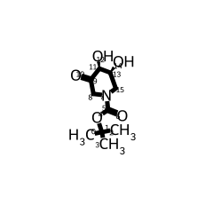 CC(C)(C)OC(=O)N1CC(=O)[C@@H](O)[C@@H](O)C1